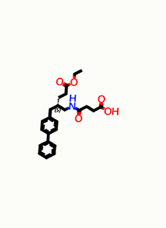 CCOC(=O)CC[C@H](CNC(=O)CCC(=O)O)Cc1ccc(-c2ccccc2)cc1